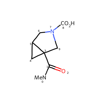 CNC(=O)C12CC1CN(C(=O)O)C2